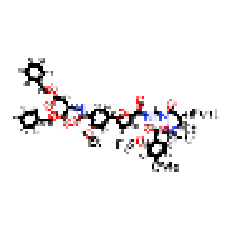 CCCCCC(C(=O)NCNC(=O)c1ccc(-c2ccc(C(=O)NC(CC(=O)OCc3ccccc3)C(=O)OCc3ccccc3)c(OCC)c2)o1)[C@@H](CC)N(C=O)OC(=O)c1ccc(OC)cc1OC(F)(F)F